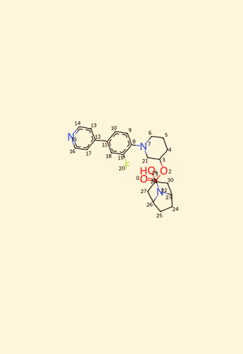 O=C(OC1CCCN(c2ccc(-c3ccncc3)cc2F)C1)N1C2CCC1CC(O)C2